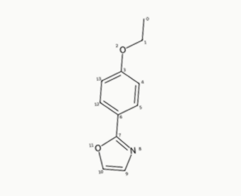 CCOc1ccc(-c2ncco2)cc1